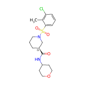 Cc1c(Cl)cccc1S(=O)(=O)N1CCC[C@H](C(=O)NC2CCOCC2)C1